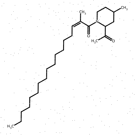 CCCCCCCCCCCCCC/C=C(/C)C(=O)N1CCC(C)CC1C(C)=O